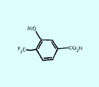 CC(=O)Oc1cc(C(=O)O)ccc1C(F)(F)F